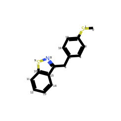 CSc1ccc(Cc2nsc3ccc[c]c23)cc1